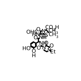 CCN1CCN(C(=O)NC(C(=O)N[C@]2(NC=O)C(=O)N3[C@@H](C(=O)O)C(C)(C)S[C@@H]32)c2ccc(O)c(O)c2)C(=O)C1=O